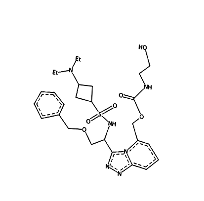 CCN(CC)C1CC(S(=O)(=O)NC(COCc2ccccc2)c2nnc3cccc(COC(=O)NCCO)n23)C1